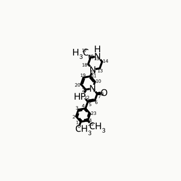 Cc1ccc(C2=CC(=O)N3C=C(N4CCN[C@@H](C)C4)C=CC3P2)cc1C